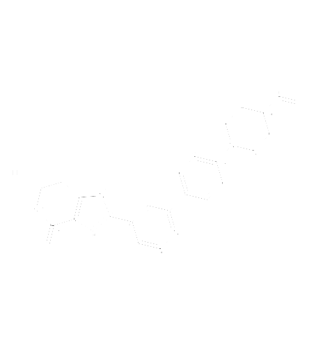 C[C@@H]1Cc2[nH]c(-c3ccnc(-c4ccc(N5CCC(C=O)CC5)cc4)c3)cc2C(=O)N1